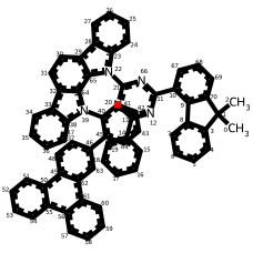 CC1(C)c2ccccc2-c2c(-c3nc(-c4ccccc4)nc(-n4c5ccccc5c5ccc6c7ccccc7n(-c7ccccc7-c7ccc8c9ccccc9c9ccccc9c8c7)c6c54)n3)cccc21